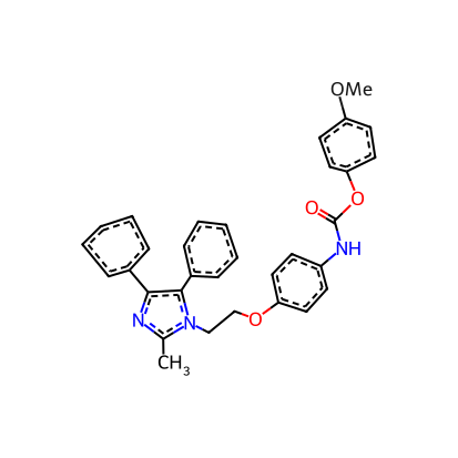 COc1ccc(OC(=O)Nc2ccc(OCCn3c(C)nc(-c4ccccc4)c3-c3ccccc3)cc2)cc1